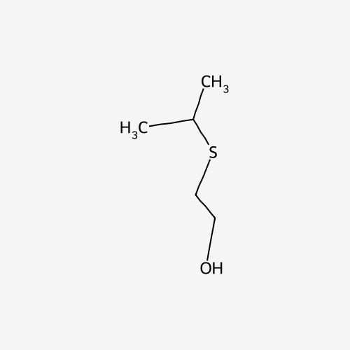 CC(C)SCCO